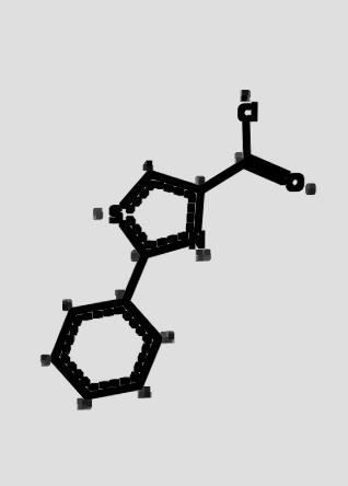 O=C(Cl)c1csc(-c2ccccc2)n1